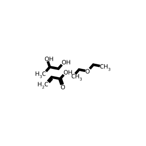 C=CC(=O)O.CC(O)CO.CCOCC